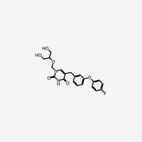 O=c1[nH]c(=O)n(COC(CO)CO)cc1Cc1cccc(Oc2ccc(F)cc2)c1